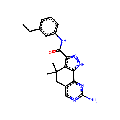 CCc1cccc(NC(=O)c2n[nH]c3c2C(C)(C)Cc2cnc(N)nc2-3)c1